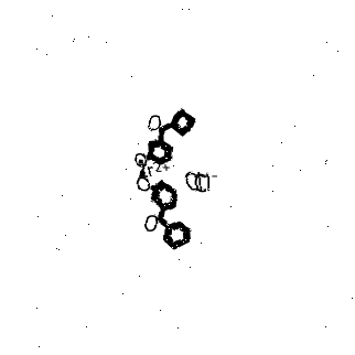 O=C(c1ccccc1)c1cccc([O][Zr+2][O]c2cccc(C(=O)c3ccccc3)c2)c1.[Cl-].[Cl-]